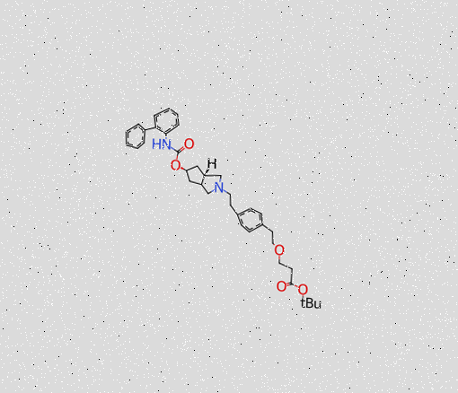 CC(C)(C)OC(=O)CCOCCc1ccc(CCN2CC3C[C@@H](OC(=O)Nc4ccccc4-c4ccccc4)C[C@@H]3C2)cc1